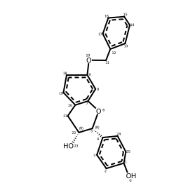 Oc1ccc([C@H]2Oc3cc(OCc4ccccc4)ccc3C[C@H]2O)cc1